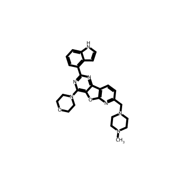 CN1CCN(Cc2ccc3c(n2)oc2c(N4CCOCC4)nc(-c4cccc5[nH]ccc45)nc23)CC1